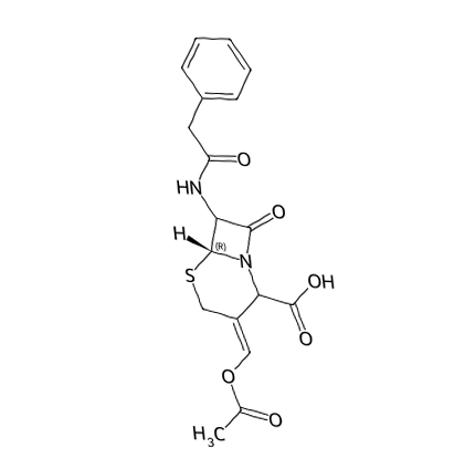 CC(=O)OC=C1CS[C@@H]2C(NC(=O)Cc3ccccc3)C(=O)N2C1C(=O)O